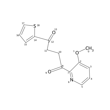 COc1cccnc1C(=O)CCC(=O)c1cccs1